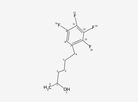 [CH2]C(O)CCCCc1cc(F)c(F)c(F)c1F